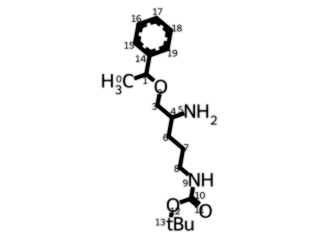 CC(OCC(N)CCCNC(=O)OC(C)(C)C)c1ccccc1